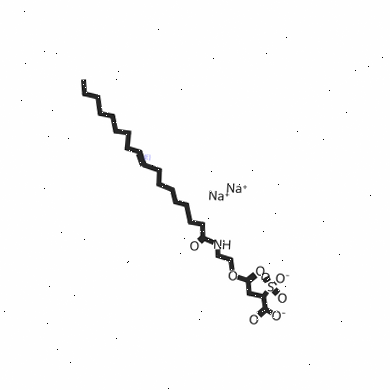 CCCCCCCC/C=C/CCCCCCCC(=O)NCCOC(=O)CC(C(=O)[O-])S(=O)(=O)[O-].[Na+].[Na+]